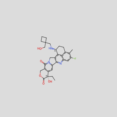 CC[C@@]1(O)C(=O)OCc2c1cc1n(c2=O)Cc2c-1nc1cc(F)c(C)c3c1c2[C@@H](NCC1(CO)CCC1)CC3